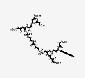 CC#CC#CC#C[C@H](CCOC[C@H](COP(=O)(O)OCCNC(=O)NCCOP(=O)(O)OC[C@@H](COCC[C@@H](CCCCCCC)OC(=O)CCCCCCCCCCC)NC(=O)CC(=O)CCCCCCCCCCC)NC(=O)CC(=O)CCCCCCCCCCC)OC(=O)CCCCCCCCCCC